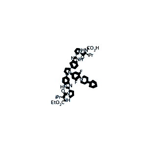 CCOC(=O)N[C@H](C(=O)N1CCC[C@H]1c1nc2cc([C@H]3CC[C@H](c4ccc5[nH]c([C@@H]6CCCN6C(=O)[C@@H](NC(=O)O)C(C)C)nc5c4)N3c3cc(F)c(N4CCC(c5ccccc5)CC4)c(F)c3)ccc2[nH]1)C(C)C